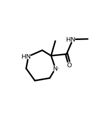 CNC(=O)C1(C)CNCCC[N]1